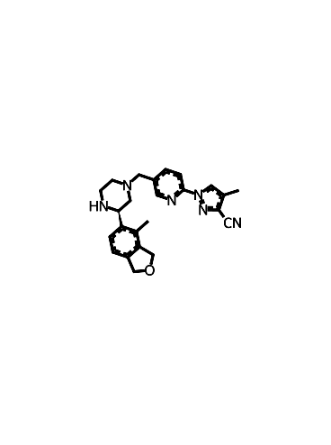 Cc1cn(-c2ccc(CN3CCN[C@H](c4ccc5c(c4C)COC5)C3)cn2)nc1C#N